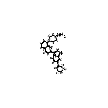 NC1CCN(c2cccc3ccc(-c4cnc5cc(-c6cccnc6)ccn45)nc23)CC1